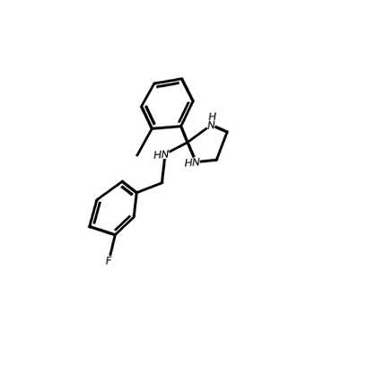 Cc1ccccc1C1(NCc2cccc(F)c2)NCCN1